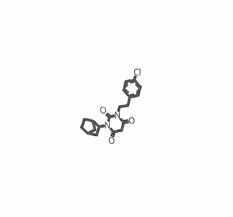 O=C1CC(=O)N(C2CC3CCC2C3)C(=O)N1CCc1ccc(Cl)cc1